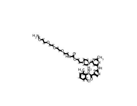 Cc1nc(Nc2ncc(C(=O)N(N)c3c(C)cccc3Cl)s2)cc(N2CCN(CCOC(=O)NCCOCCOCCOCCON)CC2)n1